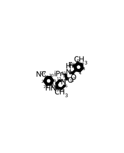 Cc1cccc(C(=O)N[C@@H](C(=O)N2CCC(C)(Nc3ccc(C#N)cc3)CC2)C(C)C)c1F